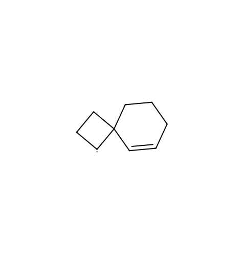 [CH]1CCC12C=CCCC2